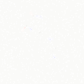 NC(=O)C1CC(=O)N(Cc2c(F)cc(Nc3ccc(N4CCC(C(F)(F)F)CC4)cc3)cc2F)C1